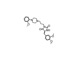 COc1ccc(/C=C2\NC(=O)N(CCCN3CCN(c4ccccc4OC)CC3)C2=O)cc1OC